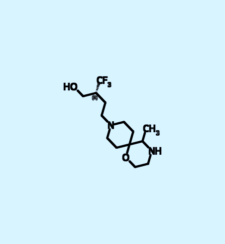 CC1NCCOC12CCN(CC[C@H](CO)C(F)(F)F)CC2